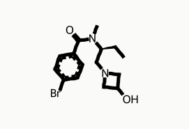 CC[C@@H](CN1CC(O)C1)N(C)C(=O)c1ccc(Br)cc1